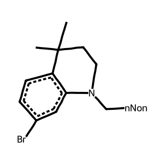 CCCCCCCCCCN1CCC(C)(C)c2ccc(Br)cc21